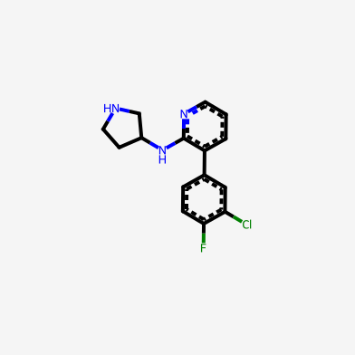 Fc1ccc(-c2cccnc2NC2CCNC2)cc1Cl